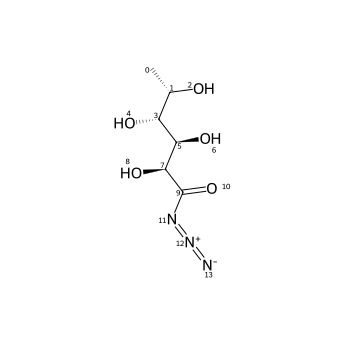 C[C@H](O)[C@@H](O)[C@@H](O)[C@H](O)C(=O)N=[N+]=[N-]